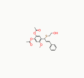 COc1cc(OC(C)=O)c(OC(C)=O)cc1C(/C=C/c1ccccc1)SCCO